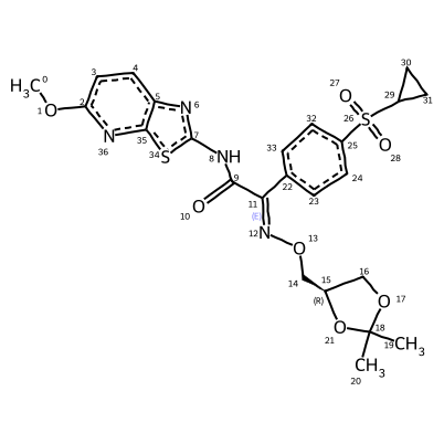 COc1ccc2nc(NC(=O)/C(=N/OC[C@H]3COC(C)(C)O3)c3ccc(S(=O)(=O)C4CC4)cc3)sc2n1